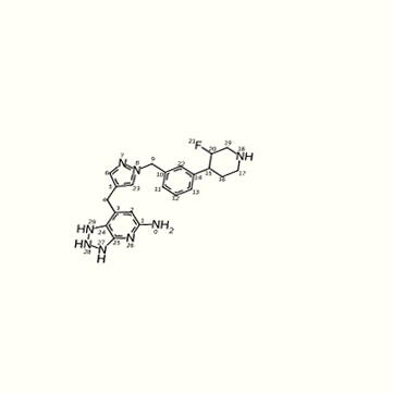 Nc1cc(Cc2cnn(Cc3cccc(C4CCNCC4F)c3)c2)c2c(n1)NNN2